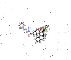 C[C@]12C[C@H](c3ccc(C(=O)NCCCN4CCOCC4)cc3)C3=C4CCC(=O)C=C4CC[C@H]3[C@@H]1CC[C@@]2(O)C(F)(F)C(F)(F)F